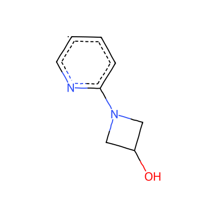 OC1CN(c2cc[c]cn2)C1